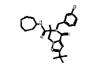 CC(C)(C)c1cc2n(n1)CC(C)(C(=O)NC1CCCCCC1)N(Cc1cccc(Cl)c1)C2=O